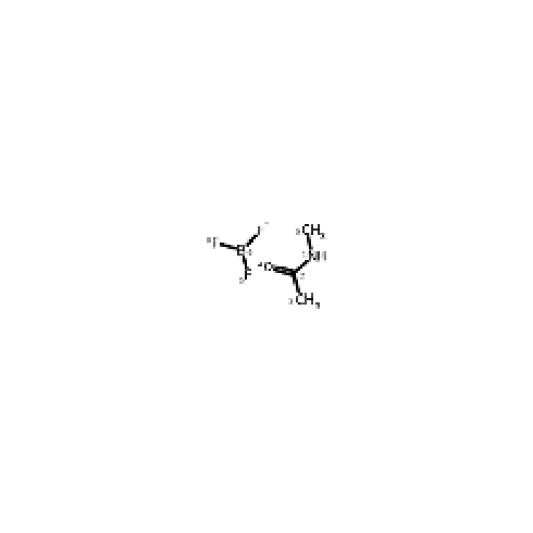 CNC(C)=O.FB(F)F